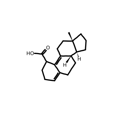 C[C@@]12CCC[C@H]1[C@@H]1CCC3=CCCC(C(=O)O)C3=C1CC2